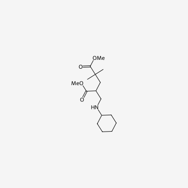 COC(=O)C(CNC1CCCCC1)CC(C)(C)C(=O)OC